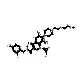 O=C(NCc1ccc(Cl)cc1Cl)c1cn([C@@H]2C[C@@H]2F)c2c(Cl)c(N3CCN(CCOCCO)CC3)c(F)cc2c1=O